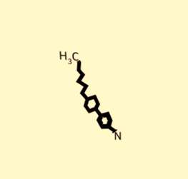 CCCCCCCC1CCC(c2ccc(C#N)cc2)CC1